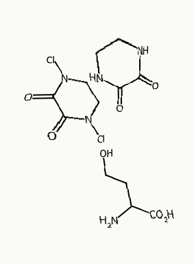 NC(CCO)C(=O)O.O=C1C(=O)N(Cl)CCN1Cl.O=C1NCCNC1=O